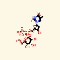 Cc1cn([C@H]2CC(O)[C@@H](COP(=O)(O[C@@H]3O[C@H](CO)[C@H](O)[C@@H](O)[C@H]3O)OP(=O)(O)O)O2)c(=O)[nH]c1=O